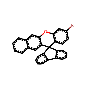 Brc1ccc2c(c1)Oc1cc3ccccc3cc1C21c2ccccc2-c2ccccc21